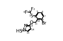 FC(F)Sc1cccc(Br)c1COc1ccn(S)n1